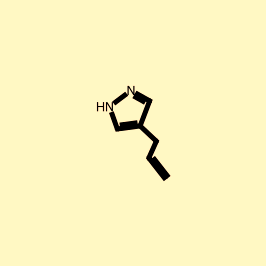 C=CCc1cn[nH]c1